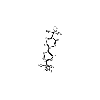 NS(=O)(=O)c1ccc(-c2ccc(C(F)(F)F)cc2)cn1